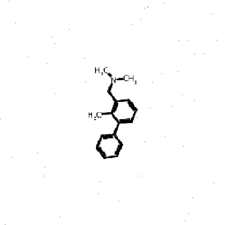 Cc1c(CN(C)C)cccc1-c1ccccc1